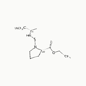 C[C@H](NSN1CCC[C@H]1C(=O)OCC(F)(F)F)C(=O)O